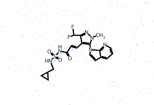 Cn1nc(C(F)F)c(/C=C/C(=O)NS(=O)(=O)NCC2CC2)c1-n1ccc2cccnc21